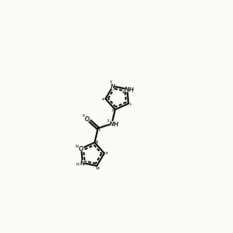 O=C(Nc1cn[nH]c1)c1ccno1